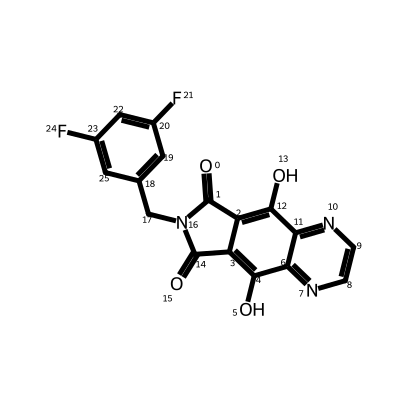 O=C1c2c(c(O)c3nccnc3c2O)C(=O)N1Cc1cc(F)cc(F)c1